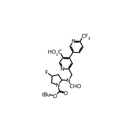 CC(C)(C)OC(=O)N1CC(F)CC1N(C=O)Cc1cc(-c2ccc(C(F)(F)F)nc2)c(C(=O)O)cn1